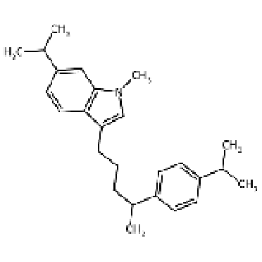 CC(C)c1ccc(C(C)CCCc2cn(C)c3cc(C(C)C)ccc23)cc1